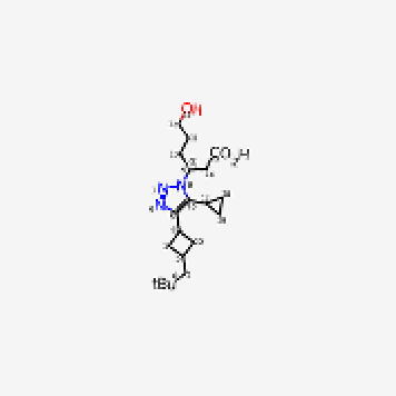 CC(C)(C)CC1CC(c2nnn([C@@H](CCCO)CC(=O)O)c2C2CC2)C1